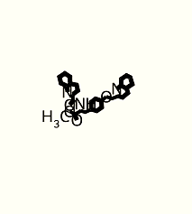 COC(=O)C(Cc1ccc(OCc2ccc3ccccc3n2)cc1)NC(=O)c1ccc2ccccc2n1